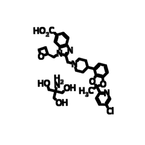 CC1(c2ccc(Cl)cn2)Oc2cccc(C3CCN(Cc4nc5ccc(C(=O)O)cc5n4C[C@@H]4CCO4)CC3)c2O1.NC(CO)(CO)CO